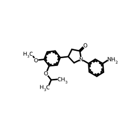 COc1ccc(C2CC(=O)N(c3cccc(N)c3)C2)cc1OC(C)C